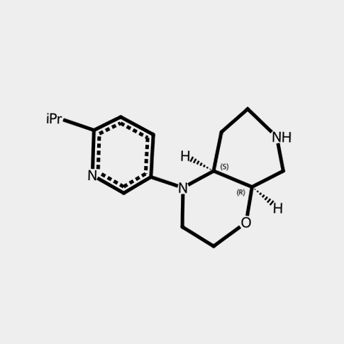 CC(C)c1ccc(N2CCO[C@@H]3CNCC[C@@H]32)cn1